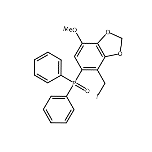 COc1cc(P(=O)(c2ccccc2)c2ccccc2)c(CI)c2c1OCO2